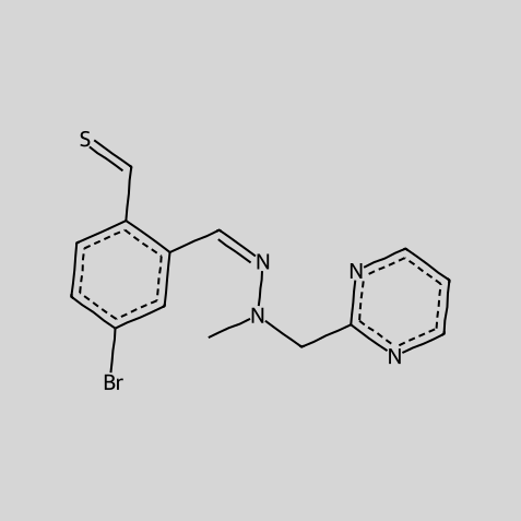 CN(Cc1ncccn1)/N=C\c1cc(Br)ccc1C=S